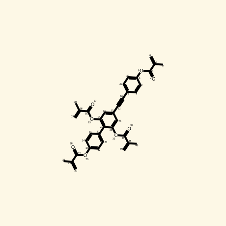 C=C(C)C(=O)Oc1ccc(C#Cc2cc(OC(=O)C(=C)C)c(-c3ccc(OC(=O)C(=C)C)cc3)c(OC(=O)C(=C)C)c2)cc1